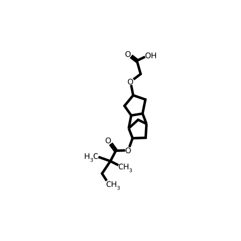 CCC(C)(C)C(=O)OC1CC2CC1C1CC(OCC(=O)O)CC21